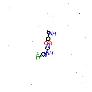 O=S(=O)(c1ccc(-c2ccc[nH]2)cc1)N1CCC(Nc2ccc(C(F)(F)F)cn2)CC1